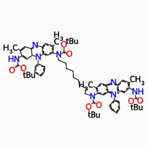 CC1=CC2=Nc3cc(C)c(N(CCCCCCCCCN(C(=O)OC(C)(C)C)c4cc5c(cc4C)nc4cc(C)c(NC(=O)OC(C)(C)C)cc4[n+]5-c4ccccc4)C(=O)OC(C)(C)C)cc3N(c3ccccc3)C2C=C1NC(=O)OC(C)(C)C